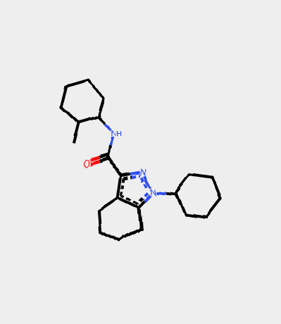 CC1CCCCC1NC(=O)c1nn(C2CCCCC2)c2c1CCCC2